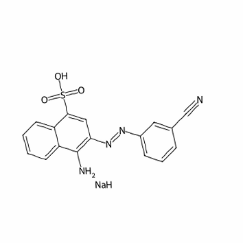 N#Cc1cccc(N=Nc2cc(S(=O)(=O)O)c3ccccc3c2N)c1.[NaH]